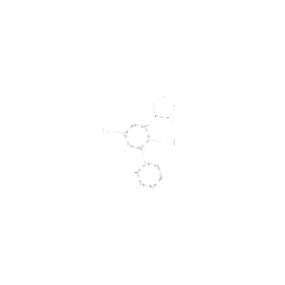 Oc1c(-c2ccccc2)cc(Br)cc1C1CCCC1